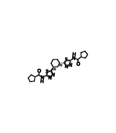 O=C(Nc1nnc([C@H]2CCC[C@H](c3nnc(NC(=O)C4CCCC4)s3)C2)s1)C1CCCC1